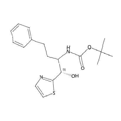 CC(C)(C)OC(=O)NC(CCc1ccccc1)[C@H](O)c1nccs1